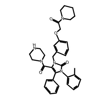 Cc1ccccc1-n1c(-c2ccccc2)c(C(=O)N2CCNCC2)n(Cc2cccc(OCC(=O)N3CCCCC3)c2)c1=O